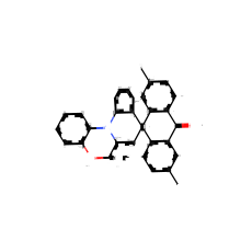 Cc1ccc2c(c1)C(=O)c1ccc(C)cc1C21c2ccccc2N2c3ccccc3Oc3cccc1c32